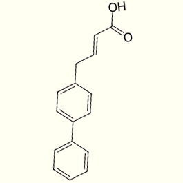 O=C(O)C=CCc1ccc(-c2ccccc2)cc1